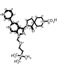 C[Si](C)(C)CCOCn1nc(N2CCC3(CCN(C(=O)O)CC3)C2=O)c2cc(-c3cccnc3)ncc21